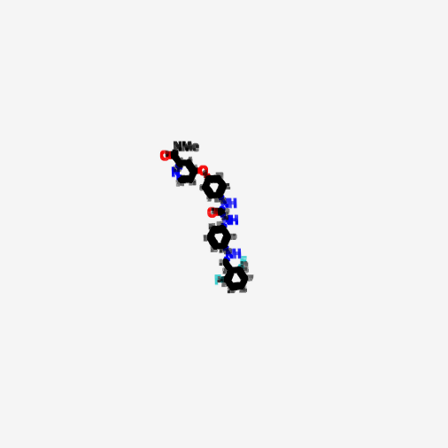 CNC(=O)c1cc(Oc2ccc(NC(=O)Nc3cccc(NCc4c(F)cccc4F)c3)cc2)ccn1